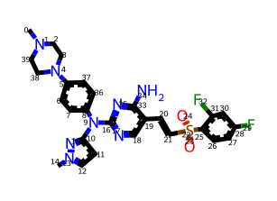 CN1CCN(c2ccc(N(c3ccn(C)n3)c3ncc(C=CS(=O)(=O)c4ccc(F)cc4F)c(N)n3)cc2)CC1